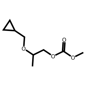 COC(=O)OCC(C)OCC1CC1